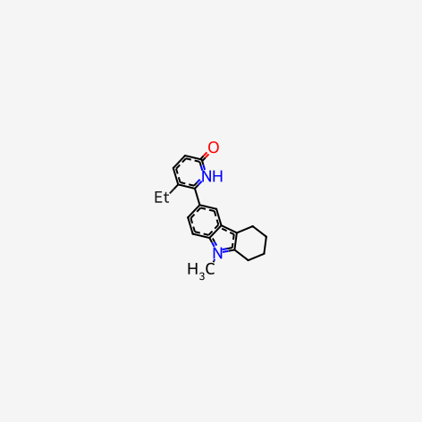 CCc1ccc(=O)[nH]c1-c1ccc2c(c1)c1c(n2C)CCCC1